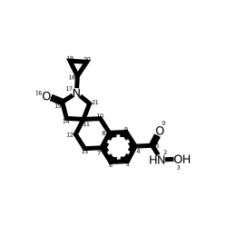 O=C(NO)c1ccc2c(c1)CC1(CC2)CC(=O)N(C2CC2)C1